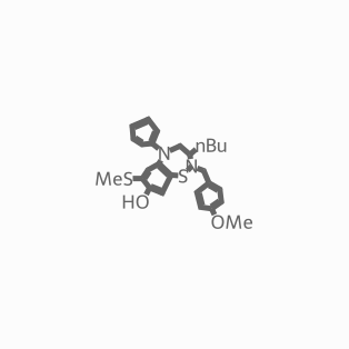 CCCCC1CN(c2ccccc2)c2cc(SC)c(O)cc2SN1Cc1ccc(OC)cc1